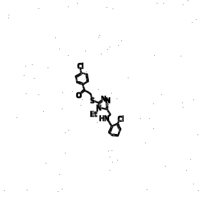 CCn1c(CNc2ccccc2Cl)nnc1SCC(=O)c1ccc(Cl)cc1